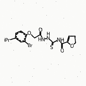 CC(C)c1ccc(OCC(=O)NNC(=S)NC(=O)C2=CCCO2)c(Br)c1